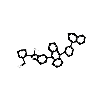 C=Cc1ccccc1-c1oc2ccc(-c3c4ccccc4c(-c4cccc(-c5cccc6ccccc56)c4)c4ccccc34)cc2c1C